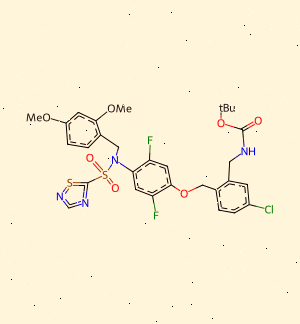 COc1ccc(CN(c2cc(F)c(OCc3ccc(Cl)cc3CNC(=O)OC(C)(C)C)cc2F)S(=O)(=O)c2ncns2)c(OC)c1